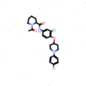 CC(=O)N1CCCCC1C(=O)Nc1ccc(OC2CCN(c3ccc(Cl)cc3)CC2)c(Cl)c1